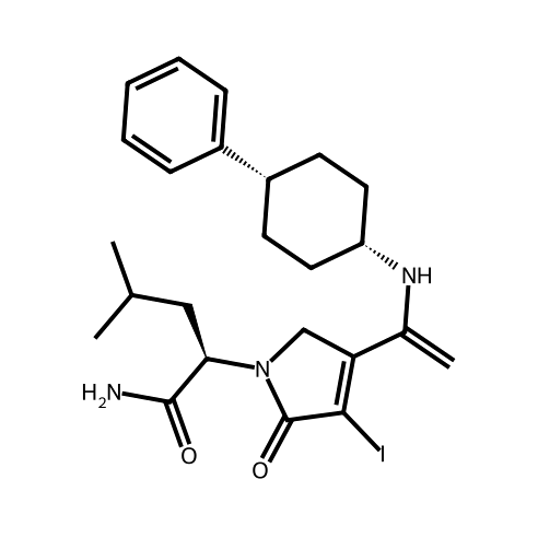 C=C(N[C@H]1CC[C@@H](c2ccccc2)CC1)C1=C(I)C(=O)N([C@H](CC(C)C)C(N)=O)C1